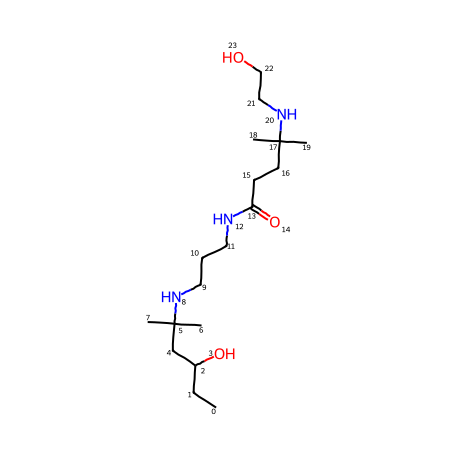 CCC(O)CC(C)(C)NCCCNC(=O)CCC(C)(C)NCCO